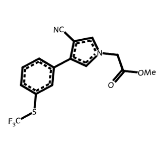 COC(=O)Cn1cc(C#N)c(-c2cccc(SC(F)(F)F)c2)c1